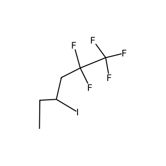 CCC(I)CC(F)(F)C(F)(F)F